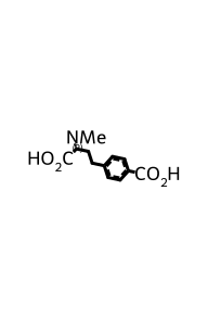 CN[C@H](CCc1ccc(C(=O)O)cc1)C(=O)O